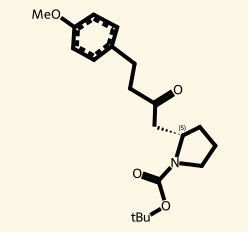 COc1ccc(CCC(=O)C[C@@H]2CCCN2C(=O)OC(C)(C)C)cc1